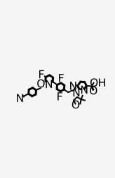 CC1(C)COCC1n1c(Cc2cc(F)c(-c3ccc(F)c(OCc4ccc(C#N)cc4)n3)cc2F)nc2ccc(C(=O)O)nc21